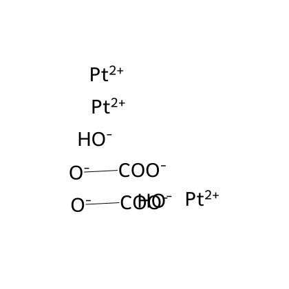 O=C([O-])[O-].O=C([O-])[O-].[OH-].[OH-].[Pt+2].[Pt+2].[Pt+2]